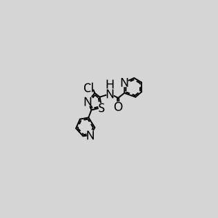 O=C(Nc1sc(-c2cccnc2)nc1Cl)c1ccccn1